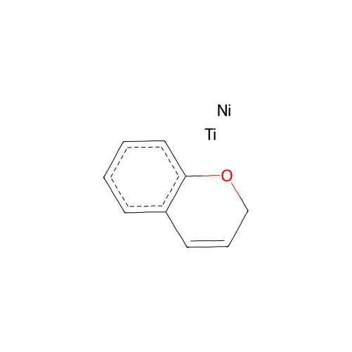 C1=Cc2ccccc2OC1.[Ni].[Ti]